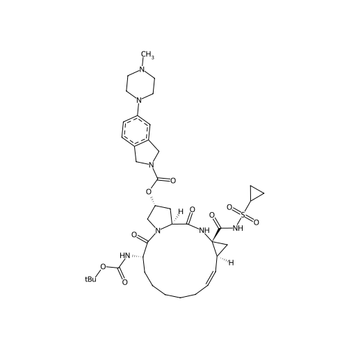 CN1CCN(c2ccc3c(c2)CN(C(=O)O[C@@H]2C[C@H]4C(=O)N[C@]5(C(=O)NS(=O)(=O)C6CC6)C[C@H]5/C=C\CCCCC[C@H](NC(=O)OC(C)(C)C)C(=O)N4C2)C3)CC1